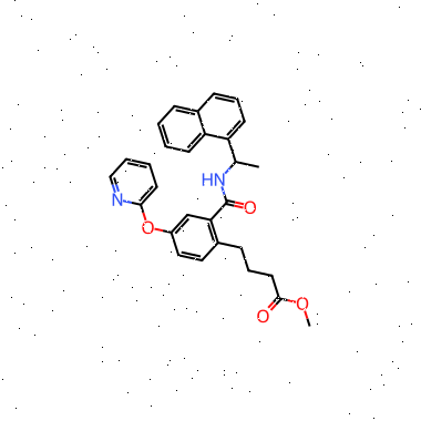 COC(=O)CCCc1ccc(Oc2ccccn2)cc1C(=O)NC(C)c1cccc2ccccc12